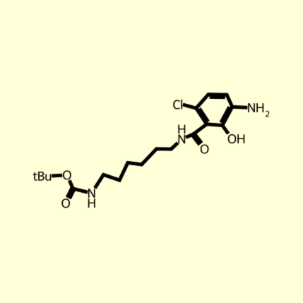 CC(C)(C)OC(=O)NCCCCCCNC(=O)c1c(Cl)ccc(N)c1O